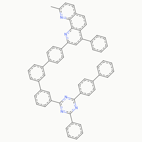 Cc1ccc2ccc3c(-c4ccccc4)cc(-c4ccc(-c5cccc(-c6cccc(-c7nc(-c8ccccc8)nc(-c8ccc(-c9ccccc9)cc8)n7)c6)c5)cc4)nc3c2n1